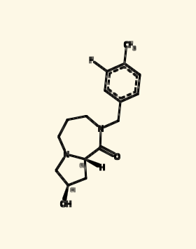 O=C1[C@@H]2C[C@@H](O)CN2CCCN1Cc1ccc(C(F)(F)F)c(F)c1